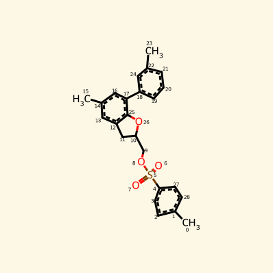 Cc1ccc(S(=O)(=O)OCC2Cc3cc(C)cc(-c4cccc(C)c4)c3O2)cc1